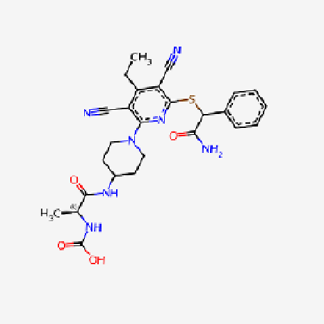 CCc1c(C#N)c(SC(C(N)=O)c2ccccc2)nc(N2CCC(NC(=O)[C@H](C)NC(=O)O)CC2)c1C#N